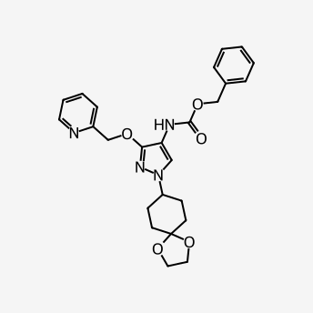 O=C(Nc1cn(C2CCC3(CC2)OCCO3)nc1OCc1ccccn1)OCc1ccccc1